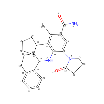 CCCc1c(C(N)=O)cc(N2CCCC2=O)c(NC2CCCc3ccccc32)c1C1CCCC1